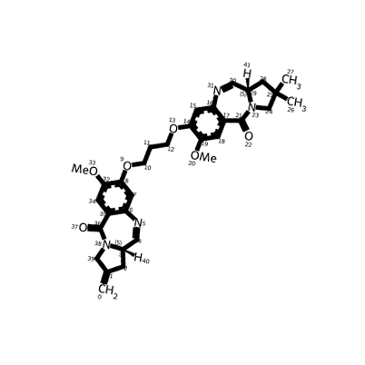 C=C1C[C@H]2C=Nc3cc(OCCCOc4cc5c(cc4OC)C(=O)N4CC(C)(C)C[C@H]4C=N5)c(OC)cc3C(=O)N2C1